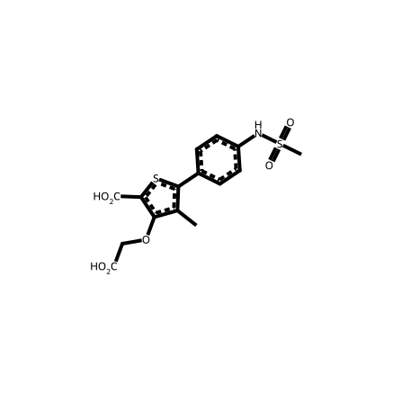 Cc1c(-c2ccc(NS(C)(=O)=O)cc2)sc(C(=O)O)c1OCC(=O)O